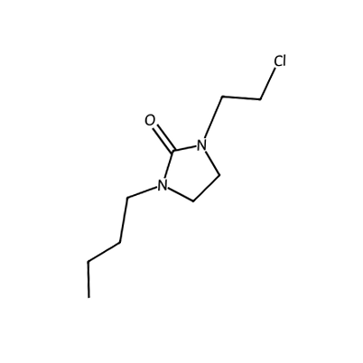 CCCCN1CCN(CCCl)C1=O